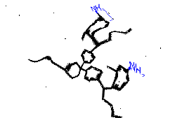 CCCCC1CCC(c2ccc(C(CCCC)c3ccc(N)cc3C)cc2)(c2ccc(C(CCCC)c3ccc(N)cc3C)cc2)CC1